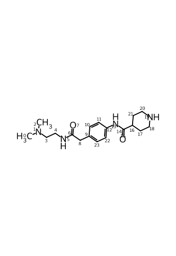 CN(C)CCNC(=O)Cc1ccc(NC(=O)C2CCNCC2)cc1